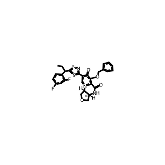 CCC(c1nnc(-c2cn3c(c(OCc4ccccc4)c2=O)C(=O)N[C@@H]2COC[C@@H]23)s1)c1ccc(F)cc1F